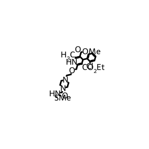 CCOC(=O)C1=C(COCCN2CCN(C(=O)NSC)CC2)NC(C)=C(C(=O)OC)C1c1ccccc1Cl